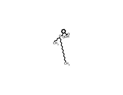 CCCCCCCCCCCCCCC(CCCC)OC(=O)c1ccccc1C(=O)O